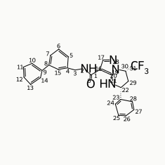 O=C(NCc1cccc(-c2ccccc2)c1)c1cnn2c1N[C@@H](c1ccccc1)C[C@H]2C(F)(F)F